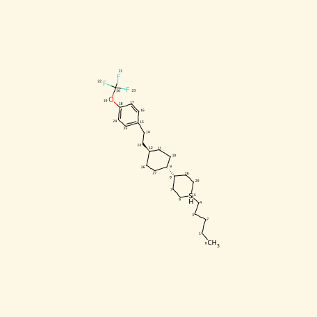 CCCCC[SiH]1CCC([C@H]2CC[C@H](CCc3ccc(OC(F)(F)F)cc3)CC2)CC1